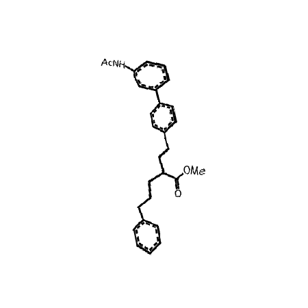 COC(=O)C(CCCc1ccccc1)CCc1ccc(-c2cccc(NC(C)=O)c2)cc1